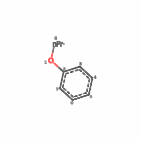 [CH2]C[CH]Oc1ccccc1